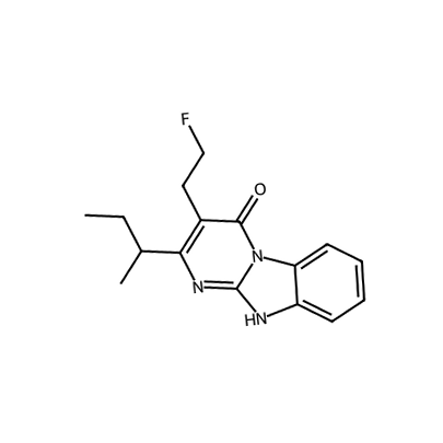 CCC(C)c1nc2[nH]c3ccccc3n2c(=O)c1CCF